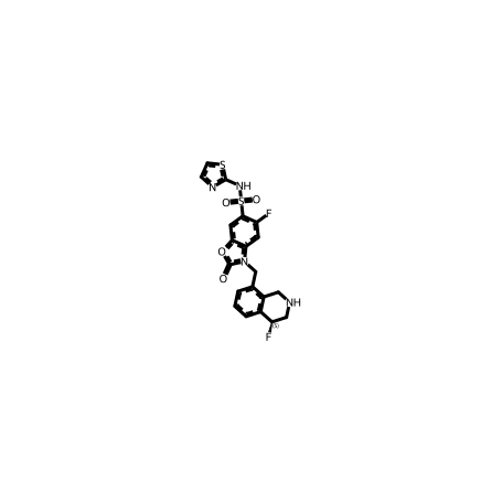 O=c1oc2cc(S(=O)(=O)Nc3nccs3)c(F)cc2n1Cc1cccc2c1CNC[C@H]2F